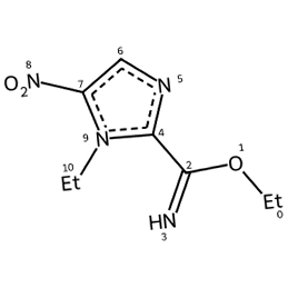 CCOC(=N)c1ncc([N+](=O)[O-])n1CC